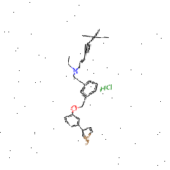 CCN(C/C=C/C#CC(C)(C)C)Cc1cccc(COc2cccc(-c3ccsc3)c2)c1.Cl